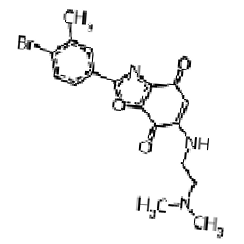 Cc1cc(-c2nc3c(o2)C(=O)C(NCCN(C)C)=CC3=O)ccc1Br